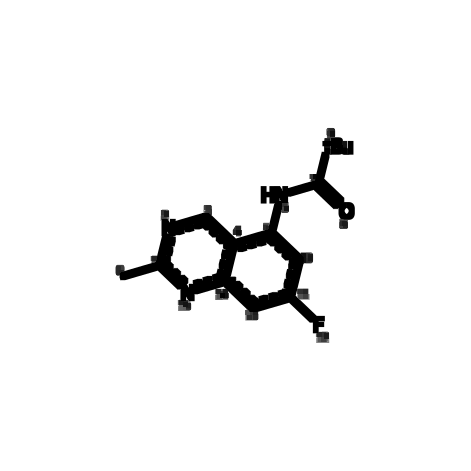 Cc1ncc2c(NC(=O)C(C)(C)C)cc(F)cc2n1